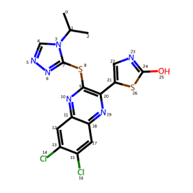 CC(C)n1cnnc1Sc1nc2cc(Cl)c(Cl)cc2nc1-c1cnc(O)s1